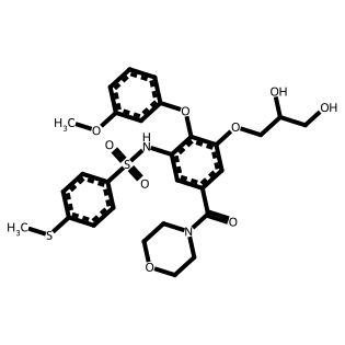 COc1cccc(Oc2c(NS(=O)(=O)c3ccc(SC)cc3)cc(C(=O)N3CCOCC3)cc2OCC(O)CO)c1